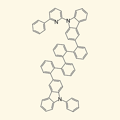 c1ccc(-c2cccc(-n3c4ccccc4c4cc(-c5ccccc5-c5ccccc5-c5ccccc5-c5ccccc5-c5ccc6c(c5)c5ccccc5n6-c5ccccc5)ccc43)n2)cc1